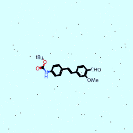 COc1cc(C=Cc2ccc(NC(=O)OC(C)(C)C)cc2)ccc1C=O